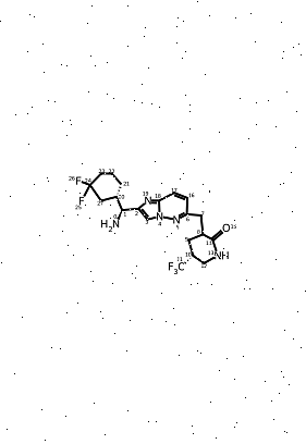 N[C@H](c1cn2nc(CC3C[C@@H](C(F)(F)F)CNC3=O)ccc2n1)[C@H]1CCCC(F)(F)C1